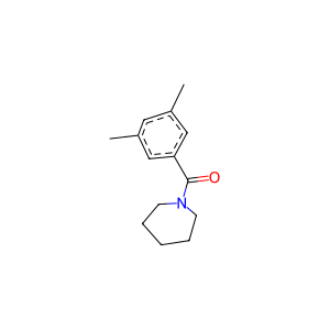 Cc1cc(C)cc(C(=O)N2CCCCC2)c1